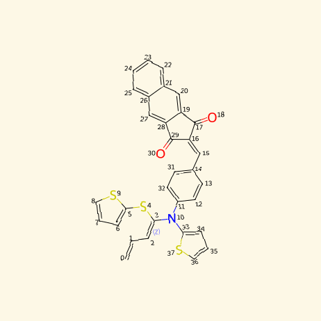 C=C/C=C(\Sc1cccs1)N(c1ccc(C=C2C(=O)c3cc4ccccc4cc3C2=O)cc1)c1cccs1